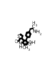 Cc1cc(O)c(-c2ccc(CC(C)N)cc2)c2c1[nH]c(=O)c1sccc12.Cl